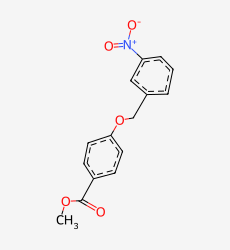 COC(=O)c1ccc(OCc2cccc([N+](=O)[O-])c2)cc1